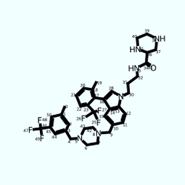 Cc1cc(CN2CCN(Cc3ccc4c(c3)c(-c3c(C)cccc3C(F)(F)F)cn4CCCNC(=O)C3CNCCN3)CC2)cc(C(F)(F)F)c1